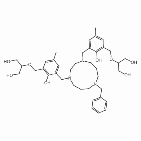 Cc1cc(COC(CO)CO)c(O)c(CN2CCCN(Cc3ccccc3)CCCN(Cc3cc(C)cc(COC(CO)CO)c3O)CC2)c1